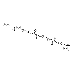 CC(=O)CCCC(=O)NCCOCCOCC(=O)NCCOCCOCC(=O)NCCCC[C@H](N)C(C)=O